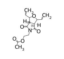 C=CC1OC(C=C)[C@@H]2C(=O)N(CCOC(C)=O)C(=O)[C@H]12